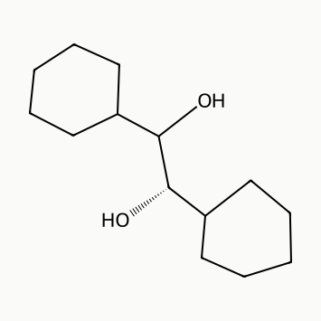 OC(C1CCCCC1)[C@@H](O)C1CCCCC1